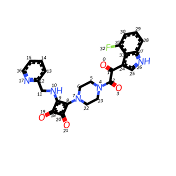 O=C(C(=O)N1CCN(c2c(NCc3ccccn3)c(=O)c2=O)CC1)c1c[nH]c2cccc(F)c12